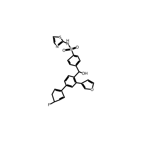 O=S(=O)(Nc1nccs1)c1ccc(C(O)c2ccc(C3=CCC(F)C=C3)cc2-c2ccoc2)cc1